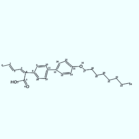 CC=CC=C(C(=O)O)c1ccc(-c2ccc(OCCCCCCCC)cc2)cc1